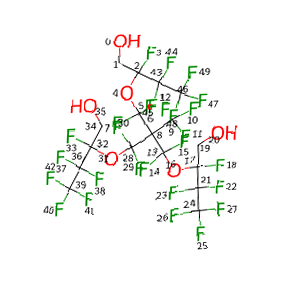 OCC(F)(OC(F)(F)C(C(F)(F)F)(C(F)(F)OC(F)(CO)C(F)(F)C(F)(F)F)C(F)(F)OC(F)(CO)C(F)(F)C(F)(F)F)C(F)(F)C(F)(F)F